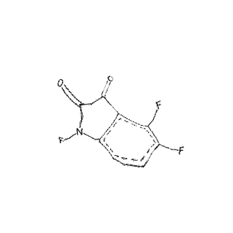 O=C1C(=O)N(F)c2ccc(F)c(F)c21